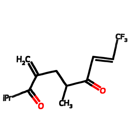 C=C(CC(C)C(=O)/C=C/C(F)(F)F)C(=O)C(C)C